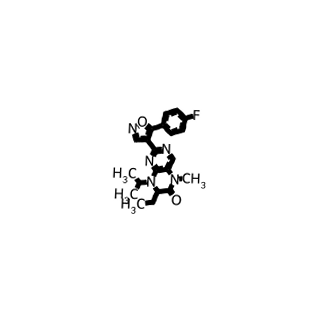 CCC1C(=O)N(C)c2cnc(-c3cnoc3-c3ccc(F)cc3)nc2N1C(C)C